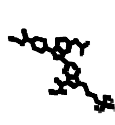 CC(C)(C)NC(=O)c1cn(COCC[Si](C)(C)C)c2ncc(-c3nn(C4CCN(C(=O)OC(C)(C)C)CC4)c4ccc(OC(F)F)cc34)nc12